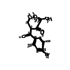 CCC(C(=O)C(=O)O)C(=O)c1ccc(Br)cc1